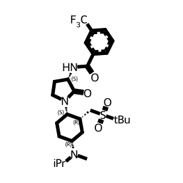 CC(C)N(C)[C@@H]1CC[C@H](N2CC[C@H](NC(=O)c3cccc(C(F)(F)F)c3)C2=O)[C@H](CS(=O)(=O)C(C)(C)C)C1